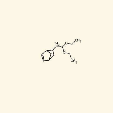 CCOC(OCC)[SiH2]C1CC2C=CC1C2